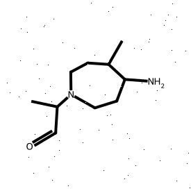 CC1CCN(C(C)C=O)CCC1N